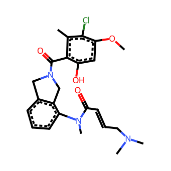 COc1cc(O)c(C(=O)N2Cc3cccc(N(C)C(=O)/C=C/CN(C)C)c3C2)c(C)c1Cl